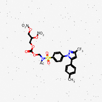 CC(=O)N(COC(=O)OCC(CO[N+](=O)[O-])O[N+](=O)[O-])S(=O)(=O)c1ccc(-n2nc(C(F)(F)F)cc2-c2ccc(C)cc2)cc1